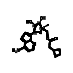 C[C@]1(COC(=O)CC2CCC2)O[C@@H](c2ccc3c(N)ncnn23)[C@H](O)[C@@H]1O